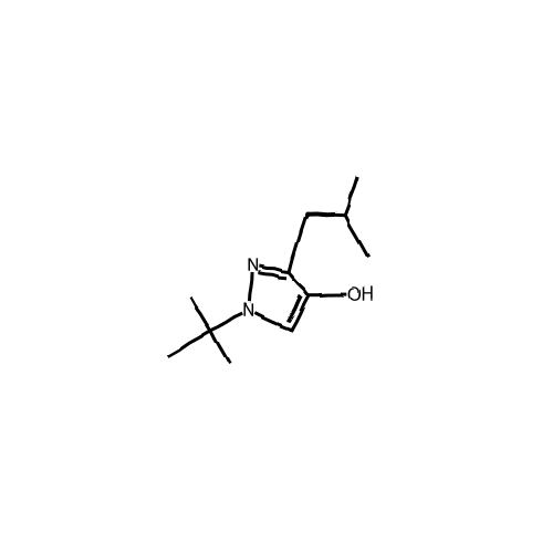 CC(C)Cc1nn(C(C)(C)C)cc1O